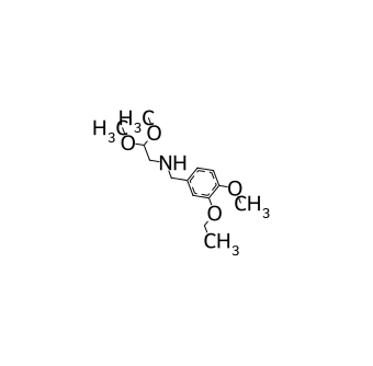 CCOc1cc(CNCC(OC)OC)ccc1OC